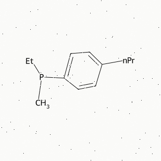 CCCc1ccc(P(C)CC)cc1